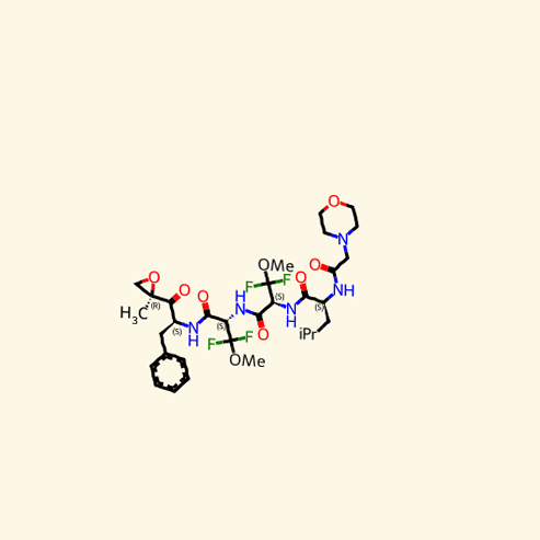 COC(F)(F)[C@@H](NC(=O)[C@H](CC(C)C)NC(=O)CN1CCOCC1)C(=O)N[C@@H](C(=O)N[C@@H](Cc1ccccc1)C(=O)[C@@]1(C)CO1)C(F)(F)OC